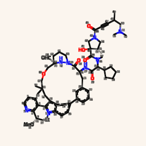 CCn1c(-c2cccnc2[C@H](C)OC)c2c3cc(ccc31)-c1cccc(c1)C[C@H](NC(=O)[C@H](C1CCCC1)N(C)C(=O)C1(O)CN(C(=O)C#CC(C)CN(C)C)C[C@@H]1C)C(=O)N1CCC[C@](C=O)(COCC(C)(C)C2)N1